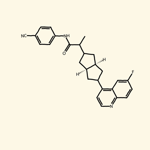 CC(C(=O)Nc1ccc(C#N)cc1)C1C[C@H]2CC(c3ccnc4ccc(F)cc34)C[C@H]2C1